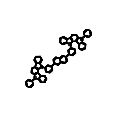 c1ccc(-n2c3ccccc3c3c2ccc2c4ccccc4n(-c4cccc(-c5ccc6cc(-c7cccc(-n8c9ccccc9c9ccc%10c(c%11ccccc%11n%10-c%10ccccc%10)c98)c7)ccc6c5)c4)c23)cc1